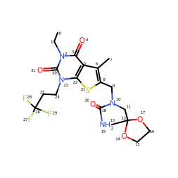 CCn1c(=O)c2c(C)c(CN(CC3(C)OCCO3)C(N)=O)sc2n(CCC(F)(F)F)c1=O